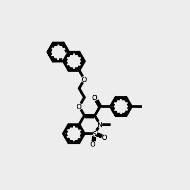 Cc1ccc(C(=O)C2=C(OCCOc3ccc4ccccc4c3)c3ccccc3S(=O)(=O)N2C)cc1